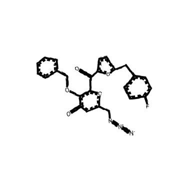 [N-]=[N+]=NCc1cc(=O)c(OCc2ccccc2)c(C(=O)c2ccc(Cc3ccc(F)cc3)o2)o1